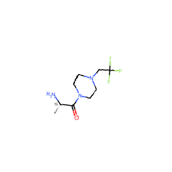 C[C@H](N)C(=O)N1CCN(CC(F)(F)F)CC1